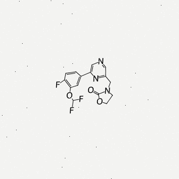 O=C1OCCN1Cc1cncc(-c2ccc(F)c(OC(F)F)c2)n1